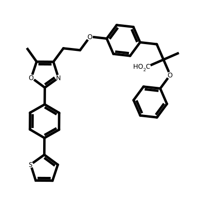 Cc1oc(-c2ccc(-c3cccs3)cc2)nc1CCOc1ccc(CC(C)(Oc2ccccc2)C(=O)O)cc1